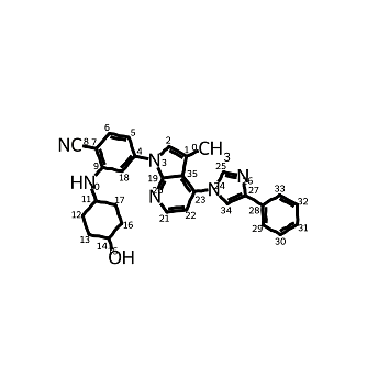 Cc1cn(-c2ccc(C#N)c(NC3CCC(O)CC3)c2)c2nccc(-n3cnc(-c4ccccc4)c3)c12